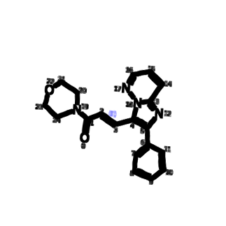 O=C(/C=C/c1c(-c2ccccc2)nc2cccnn12)N1CCOCC1